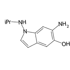 CC(C)Nn1ccc2cc(O)c(N)cc21